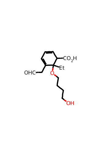 CCC1(OCCCCO)C(CC=O)=CC=CC1C(=O)O